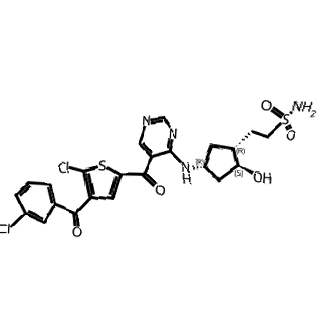 NS(=O)(=O)CC[C@H]1C[C@@H](Nc2ncncc2C(=O)c2cc(C(=O)c3cccc(Cl)c3)c(Cl)s2)C[C@@H]1O